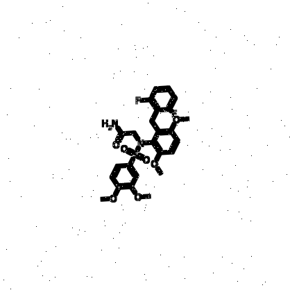 COc1ccc(S(=O)(=O)N(CC(N)=O)c2c(OC)ccc(OC)c2Cc2c(F)cccc2F)cc1OC